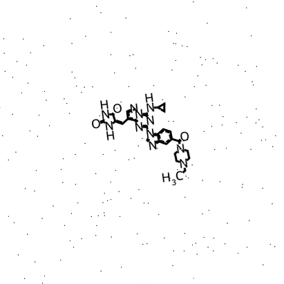 CCN1CCN(C(=O)c2ccc3c(c2)ncn3-c2nc(NC3CC3)n3ncc(/C=C4/NC(=O)NC4=O)c3n2)CC1